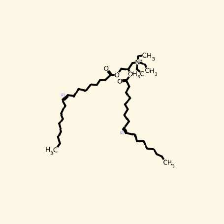 CCCCCCCC/C=C\CCCCCCCC(=O)OCC(C[N+](CC)(CC)CC)OC(=O)CCCCCCC/C=C\CCCCCCCC